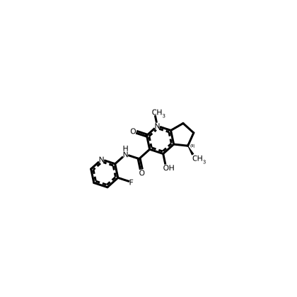 C[C@@H]1CCc2c1c(O)c(C(=O)Nc1ncccc1F)c(=O)n2C